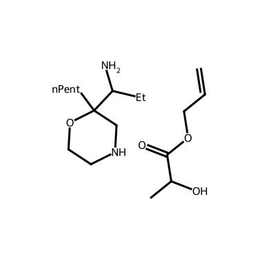 C=CCOC(=O)C(C)O.CCCCCC1(C(N)CC)CNCCO1